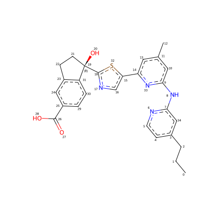 CCCc1ccnc(Nc2cc(C)cc(-c3cnc([C@@]4(O)CCc5cc(C(=O)O)ccc54)s3)n2)c1